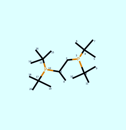 CC(CP(C(C)(C)C)C(C)(C)C)P(C(C)(C)C)C(C)(C)C